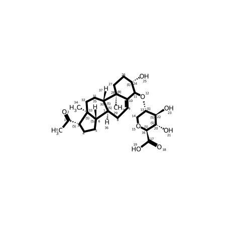 CC(=O)[C@H]1CC[C@H]2[C@@H]3CC=C4C(O[C@H]5CO[C@H](C(=O)O)[C@@H](O)[C@@H]5O)[C@@H](O)CC[C@]4(C)[C@H]3CC[C@]12C